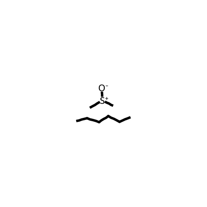 CCCCCC.C[S+](C)[O-]